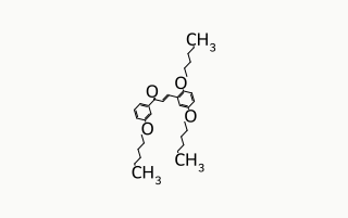 CCCCCCOc1cccc(C(=O)C=Cc2cc(OCCCCCC)ccc2OCCCCCC)c1